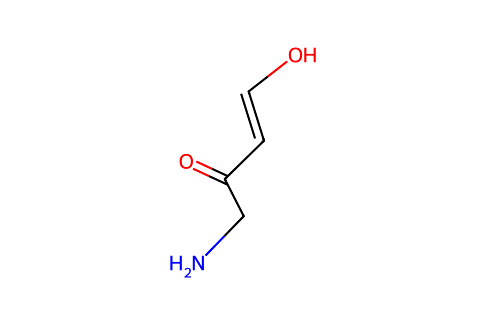 NCC(=O)C=CO